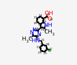 Cc1nnc(-c2c(C)[nH]c3c(C(=O)O)cccc23)nc1NCc1cccc(F)c1